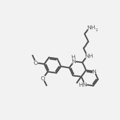 COc1ccc(C2=CC3(C)NC=CN=C3C(NCCCN)N2)cc1OC